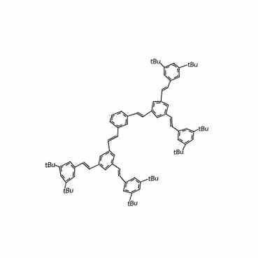 CC(C)(C)c1cc(C=Cc2cc(C=Cc3c[c]cc(C=Cc4cc(C=Cc5cc(C(C)(C)C)cc(C(C)(C)C)c5)cc(C=Cc5cc(C(C)(C)C)cc(C(C)(C)C)c5)c4)c3)cc(C=Cc3cc(C(C)(C)C)cc(C(C)(C)C)c3)c2)cc(C(C)(C)C)c1